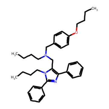 CCCCOc1ccc(CN(CCCC)Cc2c(-c3ccccc3)nc(-c3ccccc3)n2CCCC)cc1